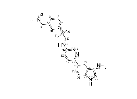 CN(C)Cc1cccc(C(C)(C)CNc2ccc(-c3ccc4[nH]nc(N)c4c3)nn2)c1